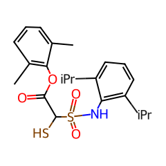 Cc1cccc(C)c1OC(=O)C(S)S(=O)(=O)Nc1c(C(C)C)cccc1C(C)C